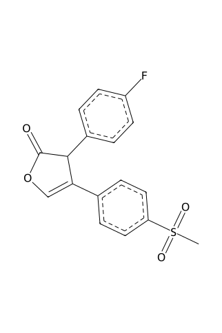 CS(=O)(=O)c1ccc(C2=COC(=O)C2c2ccc(F)cc2)cc1